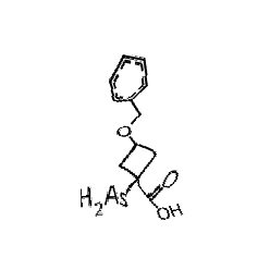 O=C(O)C1([AsH2])CC(OCc2ccccc2)C1